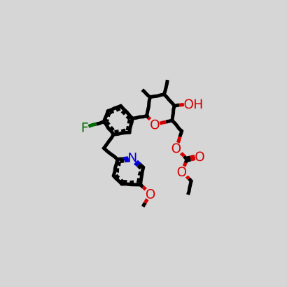 CCOC(=O)OCC1OC(c2ccc(F)c(Cc3ccc(OC)cn3)c2)C(C)C(C)C1O